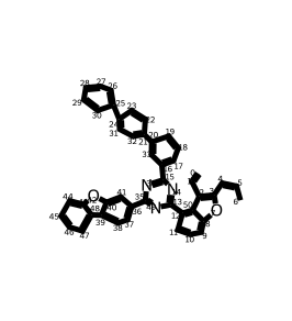 C=Cc1c(/C=C\C)oc2cccc(-c3nc(-c4cccc(-c5ccc(-c6ccccc6)cc5)c4)nc(-c4ccc5c(c4)oc4ccccc45)n3)c12